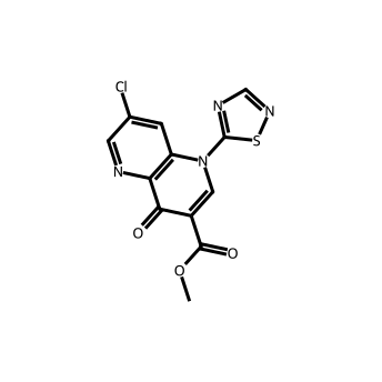 COC(=O)c1cn(-c2ncns2)c2cc(Cl)cnc2c1=O